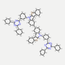 c1ccc(-c2nc(-c3ccccc3)nc(-c3cccc(-n4c5ccc(-c6ccc7c(c6)c6c8ccccc8sc6n7-c6cccc(-c7nc(-c8ccccc8)nc(-c8ccccc8)n7)c6)cc5c5c6ccccc6sc54)c3)n2)cc1